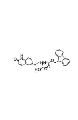 O=C(N[C@@H](CCc1ccc2[nH]c(=O)ccc2c1)C(=O)O)OCC1c2ccccc2-c2ccccc21